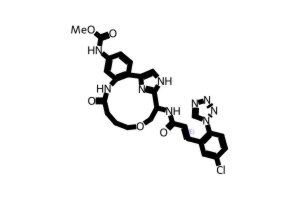 COC(=O)Nc1ccc2c(c1)NC(=O)CCCOCC(NC(=O)/C=C/c1cc(Cl)ccc1-n1cnnn1)c1nc-2c[nH]1